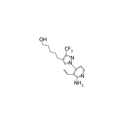 C=Cc1c(-n2cc(CCCCCO)c(C(F)(F)F)n2)ccnc1N